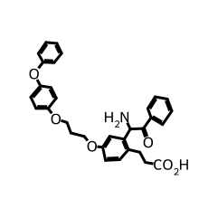 NC(C(=O)c1ccccc1)c1cc(OCCCOc2ccc(Oc3ccccc3)cc2)ccc1CCC(=O)O